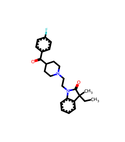 CCC1(C)C(=O)N(CCN2CCC(C(=O)c3ccc(F)cc3)CC2)c2ccccc21